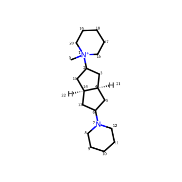 C[N+]1(C2C[C@H]3CC(N4CCCCC4)C[C@H]3C2)CCCCC1